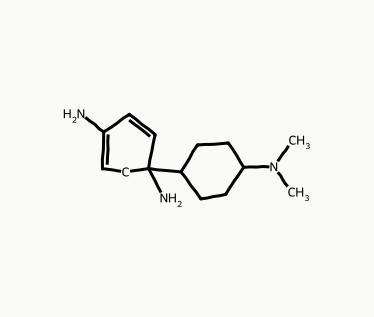 CN(C)C1CCC(C2(N)C=CC(N)=CC2)CC1